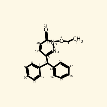 CC[CH]n1nc(C(c2ccccc2)c2ccccc2)ccc1=O